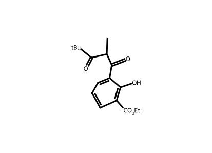 CCOC(=O)c1cccc(C(=O)C(C)C(=O)C(C)(C)C)c1O